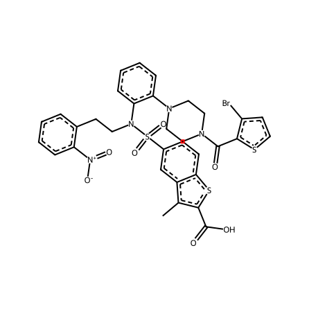 Cc1c(C(=O)O)sc2ccc(S(=O)(=O)N(CCc3ccccc3[N+](=O)[O-])c3ccccc3N3CCN(C(=O)c4sccc4Br)CC3)cc12